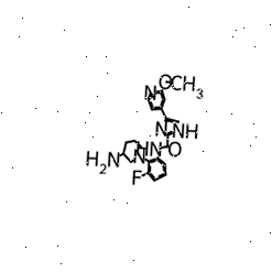 COc1cc(-c2c[nH]c(C(=O)Nc3cccc(F)c3N3CCCC(N)C3)n2)ccn1